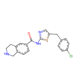 O=C(Nc1ncc(Cc2ccc(Cl)cc2)s1)c1ccc2c(c1)CCNC2